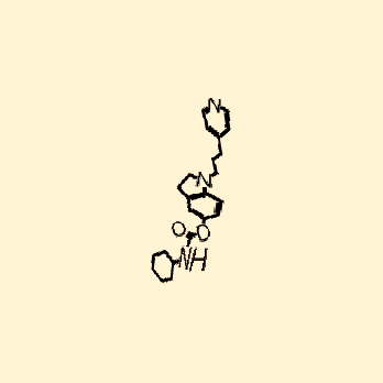 O=C(NC1CCCCC1)Oc1ccc2c(c1)CCN2CCCc1ccncc1